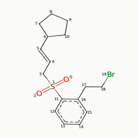 O=S(=O)(CC=CC1CCCC1)c1ccccc1CCBr